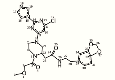 COCC(=O)N1CCN(c2cc(Cl)nc(-n3ccnc3)n2)CC1CC(=O)NCCc1ccc2c(c1)OCO2